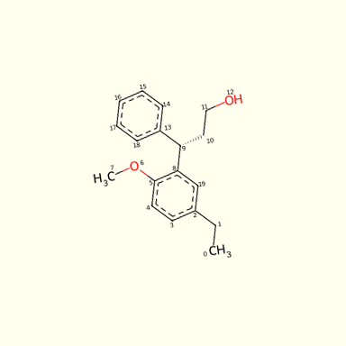 CCc1ccc(OC)c([C@@H](CCO)c2ccccc2)c1